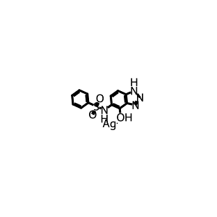 O=S(=O)(Nc1ccc2[nH]nnc2c1O)c1ccccc1.[Ag]